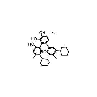 CC.Cc1cc(O)c(-c2ccc(O)c(O)c2-c2cc(C3CCCCC3)c(C)cc2O)cc1C1CCCCC1